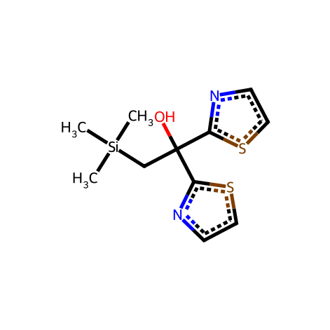 C[Si](C)(C)CC(O)(c1nccs1)c1nccs1